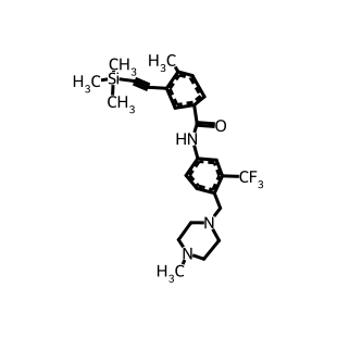 Cc1ccc(C(=O)Nc2ccc(CN3CCN(C)CC3)c(C(F)(F)F)c2)cc1C#C[Si](C)(C)C